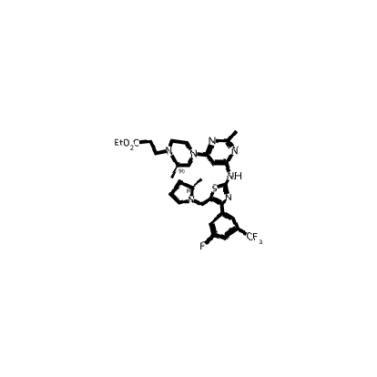 CCOC(=O)CCN1CCN(c2cc(Nc3nc(-c4cc(F)cc(C(F)(F)F)c4)c(CN4CCC[C@H]4C)s3)nc(C)n2)C[C@H]1C